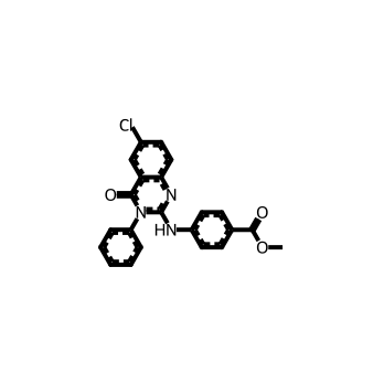 COC(=O)c1ccc(Nc2nc3ccc(Cl)cc3c(=O)n2-c2ccccc2)cc1